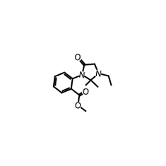 CCN1CC(=O)N(c2ccccc2C(=O)OC)C1(C)C